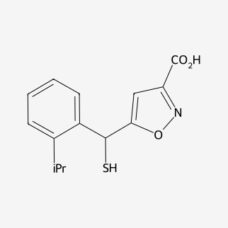 CC(C)c1ccccc1C(S)c1cc(C(=O)O)no1